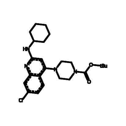 CC(C)(C)OC(=O)N1CCN(c2cc(NC3CCCCC3)nc3cc(Cl)ccc23)CC1